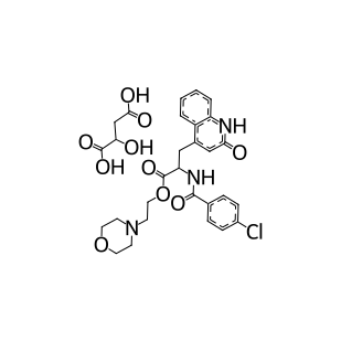 O=C(NC(Cc1cc(=O)[nH]c2ccccc12)C(=O)OCCN1CCOCC1)c1ccc(Cl)cc1.O=C(O)CC(O)C(=O)O